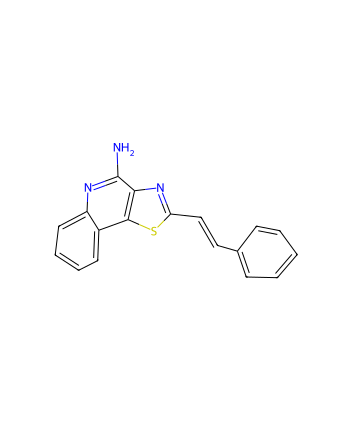 Nc1nc2ccccc2c2sc(C=Cc3ccccc3)nc12